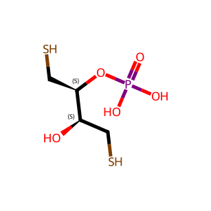 O=P(O)(O)O[C@H](CS)[C@H](O)CS